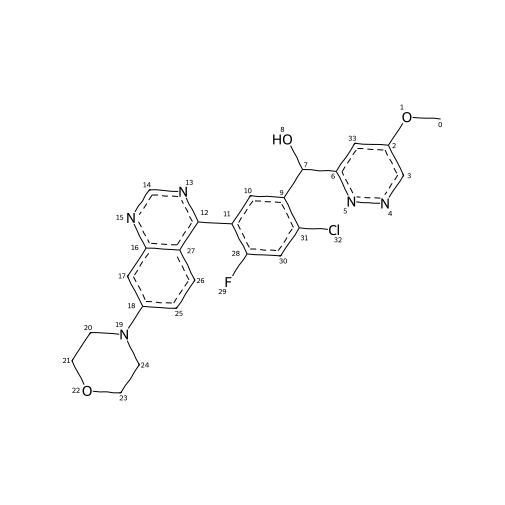 COc1cnnc(C(O)c2cc(-c3ncnc4cc(N5CCOCC5)ccc34)c(F)cc2Cl)c1